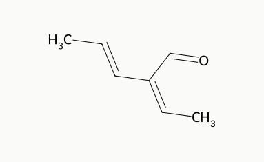 C/C=C(C=O)/C=C/C